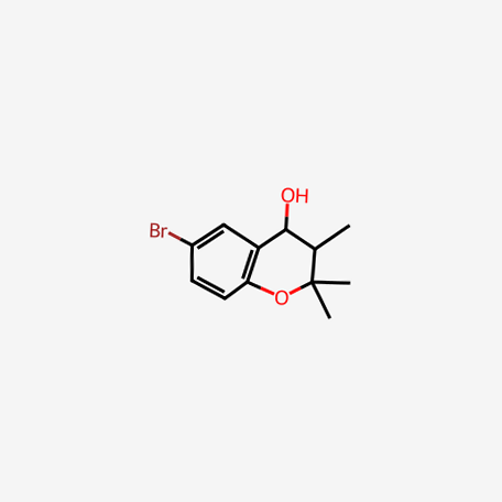 CC1C(O)c2cc(Br)ccc2OC1(C)C